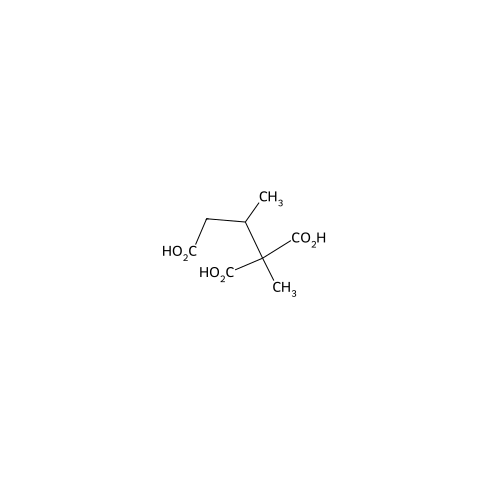 CC(CC(=O)O)C(C)(C(=O)O)C(=O)O